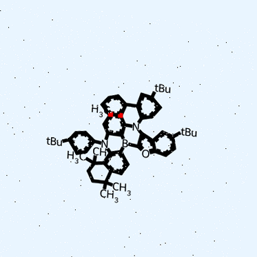 Cc1cc2c3c(c1)N(c1ccc(C(C)(C)C)cc1-c1ccccc1)c1c(oc4ccc(C(C)(C)C)cc14)B3c1ccc3c(c1N2c1ccc(C(C)(C)C)cc1)C(C)(C)CCC3(C)C